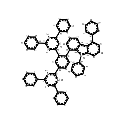 c1ccc(-c2nc(-c3ccccc3)nc(-c3ccc(-c4cccc5c6c(-c7ccccc7)cccc6n(-c6ccccc6)c45)c(-c4nc(-c5ccccc5)nc(-c5ccccc5)n4)c3)n2)cc1